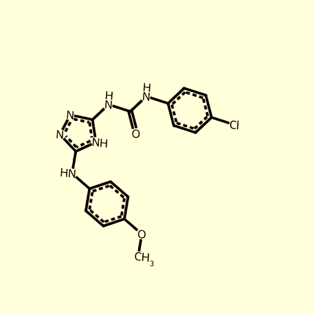 COc1ccc(Nc2nnc(NC(=O)Nc3ccc(Cl)cc3)[nH]2)cc1